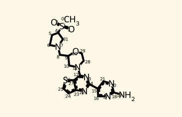 CS(=O)(=O)C1CCN(CC2CN(c3nc(-c4cnc(N)nc4)nc4ccsc34)CCO2)C1